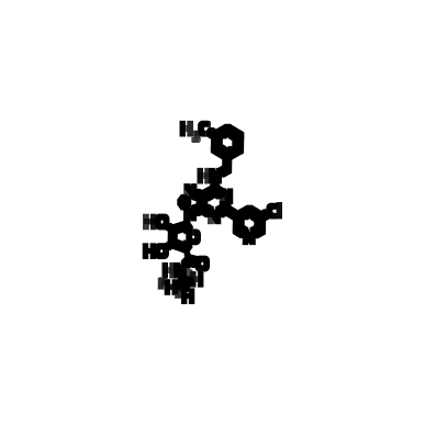 [2H]C([2H])([2H])NC(=O)[C@H]1O[C@@H](n2cnc3c(NCc4cccc(C)c4)nc(-c4cncc(Cl)c4)nc32)[C@H](O)[C@@H]1O